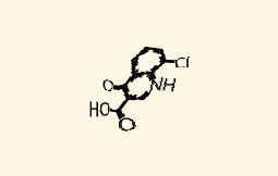 O=C(O)c1c[nH]c2c(Cl)cccc2c1=O